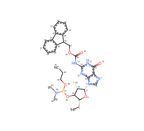 [2H]C[C@H]1O[C@@H](n2cnc3c(=O)[nH]c(NC(=O)OCC4c5ccccc5-c5ccccc54)nc32)[C@@H](F)C1OP(OCCC#N)N(C(C)C)C(C)C